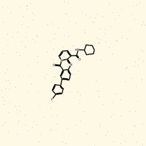 O=C(NC1CCCCC1)c1cccn2c(=O)c3cc(-c4ccc(F)cc4)ccc3nc12